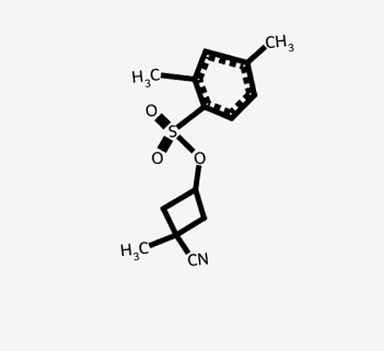 Cc1ccc(S(=O)(=O)OC2CC(C)(C#N)C2)c(C)c1